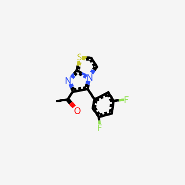 CC(=O)c1nc2sccn2c1-c1cc(F)cc(F)c1